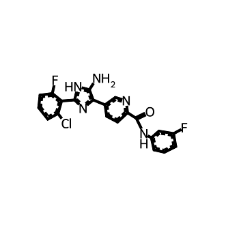 Nc1[nH]c(-c2c(F)cccc2Cl)nc1-c1ccc(C(=O)Nc2cccc(F)c2)nc1